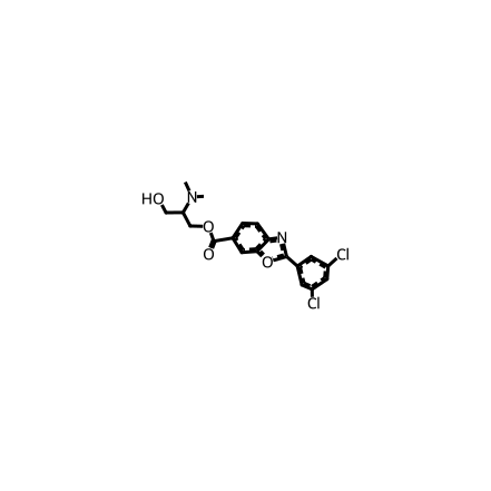 CN(C)C(CO)COC(=O)c1ccc2nc(-c3cc(Cl)cc(Cl)c3)oc2c1